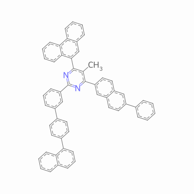 Cc1c(-c2ccc3cc(-c4ccccc4)ccc3c2)nc(-c2cccc(-c3ccc(-c4cccc5ccccc45)cc3)c2)nc1-c1cc2ccccc2c2ccccc12